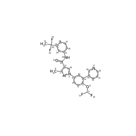 Cc1nn(-c2ccc(OC(F)F)c(-c3cccnc3)c2)cc1C(=O)Nc1cccc(C(C)(F)F)c1